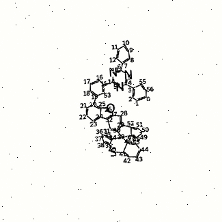 c1ccc(-c2nc(-c3ccccc3)nc(-c3cccc(-c4cccc5c4oc4cc6c(cc45)C4(c5ccccc5Sc5ccccc54)c4ccccc4-6)c3)n2)cc1